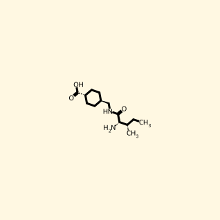 CC[C@H](C)[C@H](N)C(=O)NC[C@H]1CC[C@H](C(=O)O)CC1